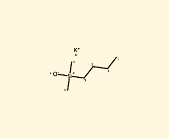 CCCC[Si](C)(C)[O-].[K+]